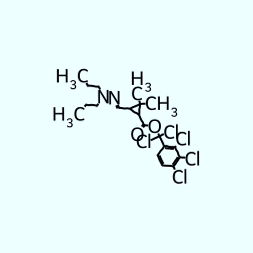 CCCN(CCC)N=CC1C(C(=O)OC(Cl)(Cl)c2ccc(Cl)c(Cl)c2Cl)C1(C)C